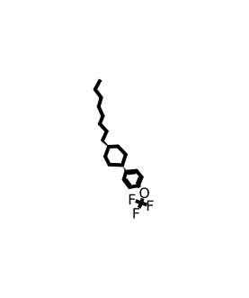 CCCCCCCC[C@H]1CC[C@H](c2ccc(OC(F)(F)F)cc2)CC1